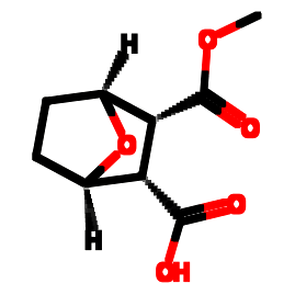 COC(=O)[C@@H]1[C@H](C(=O)O)[C@H]2CC[C@@H]1O2